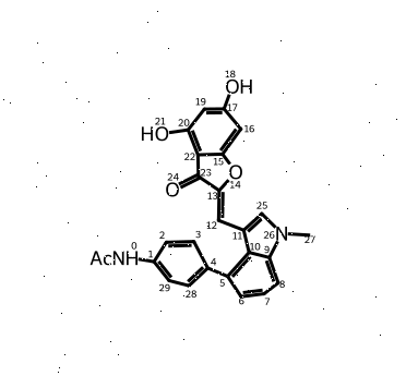 CC(=O)Nc1ccc(-c2cccc3c2c(/C=C2\Oc4cc(O)cc(O)c4C2=O)cn3C)cc1